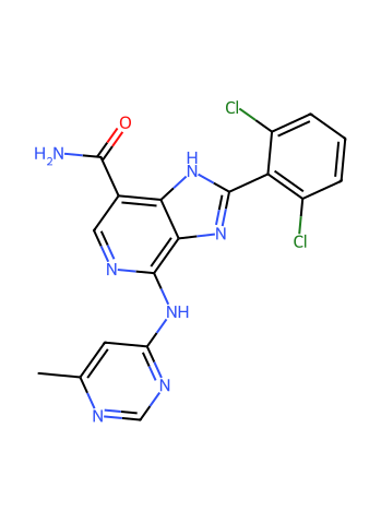 Cc1cc(Nc2ncc(C(N)=O)c3[nH]c(-c4c(Cl)cccc4Cl)nc23)ncn1